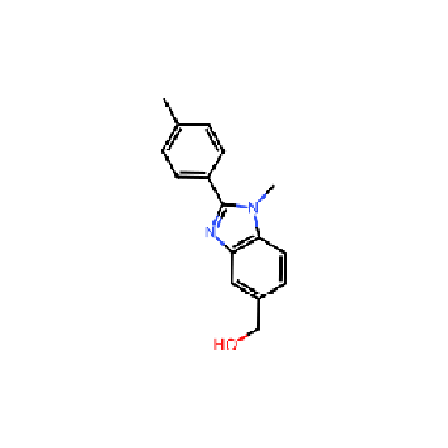 Cc1ccc(-c2nc3cc(CO)ccc3n2C)cc1